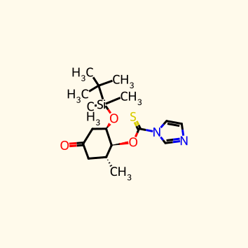 C[C@@H]1CC(=O)C[C@@H](O[Si](C)(C)C(C)(C)C)[C@H]1OC(=S)n1ccnc1